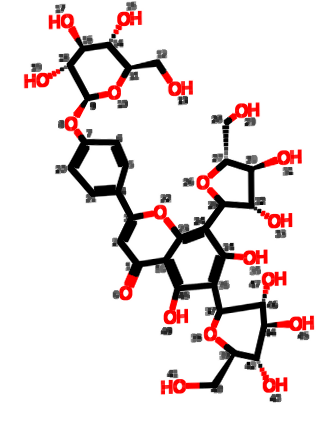 O=c1cc(-c2ccc(O[C@@H]3O[C@H](CO)[C@@H](O)[C@H](O)[C@H]3O)cc2)oc2c(C3O[C@H](CO)[C@@H](O)[C@@H]3O)c(O)c(C3O[C@H](CO)[C@@H](O)[C@H](O)[C@H]3O)c(O)c12